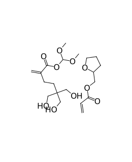 C=C(CCC(CO)(CO)CO)C(=O)OC(OC)OC.C=CC(=O)OCC1CCCO1